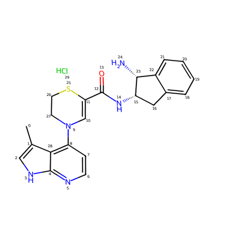 Cc1c[nH]c2nccc(N3C=C(C(=O)N[C@H]4Cc5ccccc5[C@H]4N)SCC3)c12.Cl